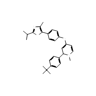 Cc1nc(C(C)C)sc1-c1ccc(NC2=CC(c3ccc(C(C)(C)C)cc3)N(C)C=C2)cc1.I